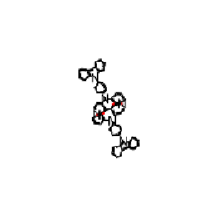 c1ccc(N(c2ccc(-n3c4ccccc4c4ccccc43)cc2)c2ccncc2-c2cnccc2N(c2ccccc2)c2ccc(-n3c4ccccc4c4ccccc43)cc2)cc1